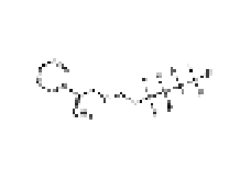 C=C(COCCC(F)(F)C(F)(F)C(F)(F)C(F)(F)F)c1ccccc1